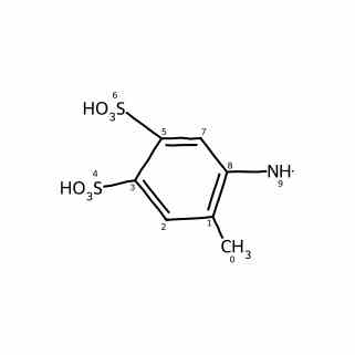 Cc1cc(S(=O)(=O)O)c(S(=O)(=O)O)cc1[NH]